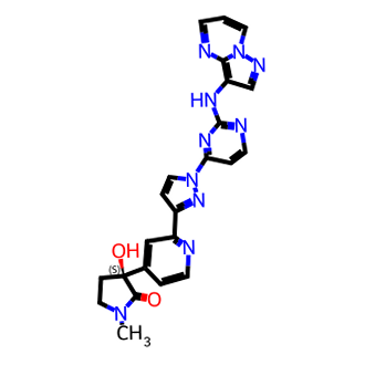 CN1CC[C@](O)(c2ccnc(-c3ccn(-c4ccnc(Nc5cnn6cccnc56)n4)n3)c2)C1=O